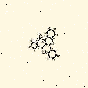 CCC(c1cccs1)c1c(-c2ccccc2)nc2ccccc2c1C(N)=O